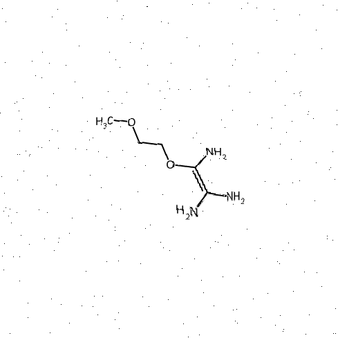 COCCOC(N)=C(N)N